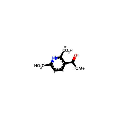 COC(=O)c1ccc(C(=O)O)nc1C(=O)O